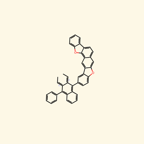 C/C=c1/c(-c2ccccc2)c2ccccc2c(-c2ccc3oc4cc5ccc6c7ccccc7oc6c5cc4c3c2)/c1=C/C